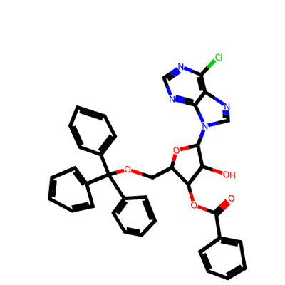 O=C(OC1C(COC(c2ccccc2)(c2ccccc2)c2ccccc2)OC(n2cnc3c(Cl)ncnc32)C1O)c1ccccc1